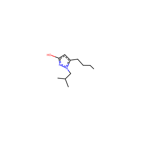 CCCCc1cc(O)nn1CC(C)C